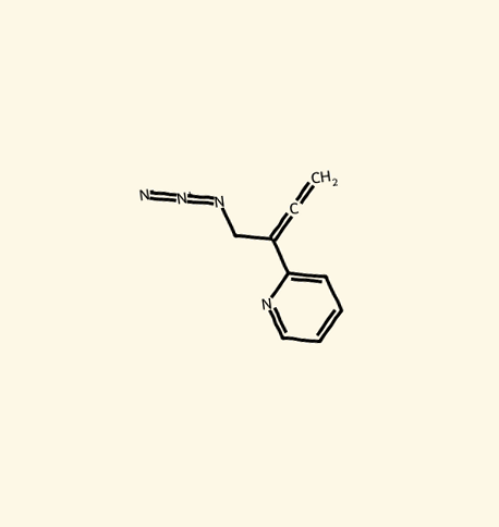 C=C=C(CN=[N+]=[N-])c1ccccn1